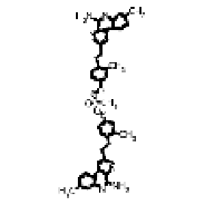 Cc1ccc2c(c1)nc(N)c1ncc(CCc3ccc(OOP(C)(=O)OOc4ccc(CCc5cnc6c(N)nc7cc(C)ccc7c6c5)c(C)c4)cc3C)cc12